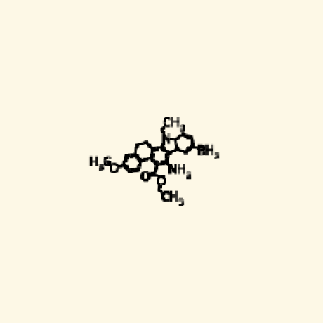 BC1=CC2c3c(N)c(C(=O)OCC)c4c(c3N(CC)C2C=C1)CCc1cc(OC)ccc1-4